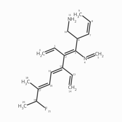 C=CC(=C(/N=C)C(/C=C\C)CN)/C(C=C)=C/C=C(\C)C(C)F